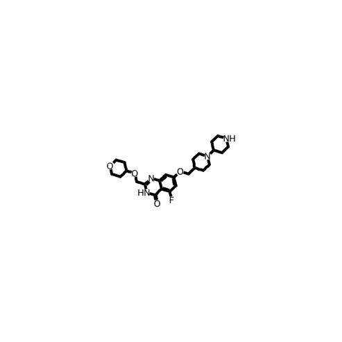 O=c1[nH]c(COC2CCOCC2)nc2cc(OCC3CCN(C4CCNCC4)CC3)cc(F)c12